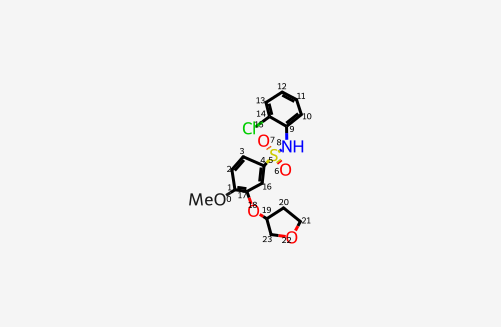 COc1ccc(S(=O)(=O)Nc2ccccc2Cl)cc1OC1CCOC1